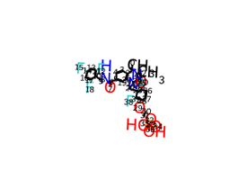 CC1c2ccc(C(=O)NCc3c(F)cc(F)cc3F)cc2N(Cc2c(F)ccc(OCCOP(=O)(O)O)c2F)C(=O)N1C